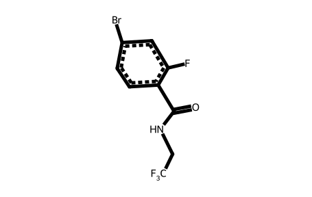 O=C(NCC(F)(F)F)c1ccc(Br)cc1F